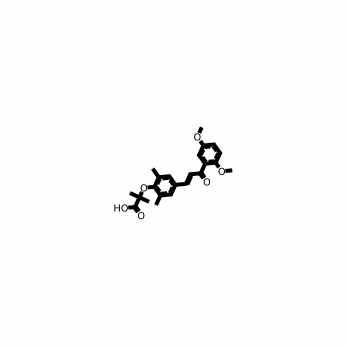 COc1ccc(OC)c(C(=O)C=Cc2cc(C)c(OC(C)(C)C(=O)O)c(C)c2)c1